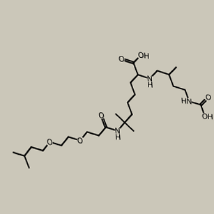 CC(C)CCOCCOCCC(=O)NC(C)(C)CCCCC(NCC(C)CCNC(=O)O)C(=O)O